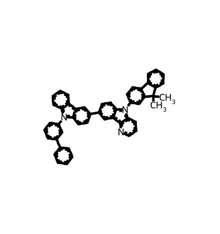 CC1(C)c2ccccc2-c2ccc(-n3c4ccc(-c5ccc6c(c5)c5ccccc5n6-c5cccc(-c6ccccc6)c5)cc4c4ncccc43)cc21